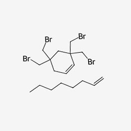 BrCC1(CBr)C=CCC(CBr)(CBr)C1.C=CCCCCCC